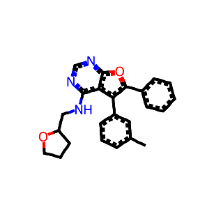 Cc1cccc(-c2c(-c3ccccc3)oc3ncnc(NCC4CCCO4)c23)c1